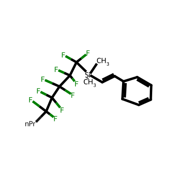 CCCC(F)(F)C(F)(F)C(F)(F)C(F)(F)C(F)(F)[Si](C)(C)C=Cc1ccccc1